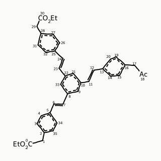 CCOC(=O)Cc1ccc(/C=C/c2cc(/C=C/c3ccc(CC(C)=O)cc3)cc(/C=C/c3ccc(CC(=O)OCC)cc3)c2)cc1